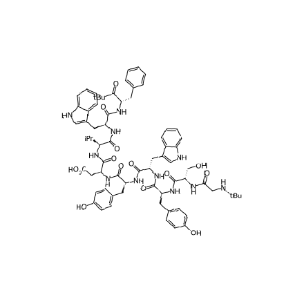 CC(C)[C@H](NC(=O)[C@H](CC(=O)O)NC(=O)[C@H](Cc1ccc(O)cc1)NC(=O)[C@H](Cc1c[nH]c2ccccc12)NC(=O)[C@H](Cc1ccc(O)cc1)NC(=O)[C@H](CO)NC(=O)CNC(C)(C)C)C(=O)N[C@@H](Cc1c[nH]c2ccccc12)C(=O)N[C@@H](Cc1ccccc1)C(=O)C(C)(C)C